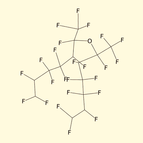 FC(F)C(F)C(F)(F)C(F)(F)C(F)C(F)(OC(F)(C(F)C(F)(F)C(F)(F)C(F)C(F)F)C(F)(F)F)C(F)(F)F